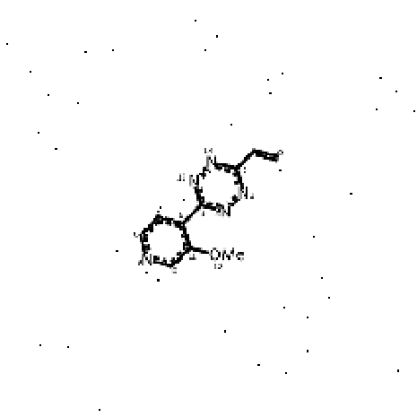 C=Cc1nnc(-c2ccncc2OC)nn1